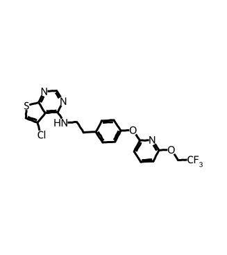 FC(F)(F)COc1cccc(Oc2ccc(CCNc3ncnc4scc(Cl)c34)cc2)n1